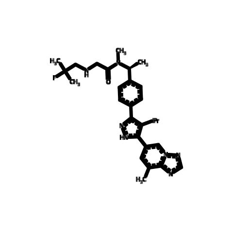 Cc1cc(-c2[nH]nc(-c3ccc([C@H](C)N(C)C(=O)CNCC(C)(C)F)cc3)c2C(C)C)cn2ncnc12